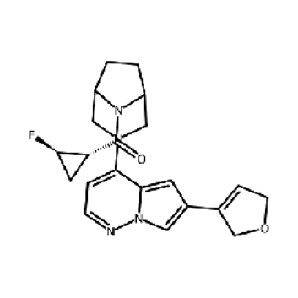 O=C([C@@H]1C[C@H]1F)N1C2CCC1CN(c1ccnn3cc(C4=CCOC4)cc13)C2